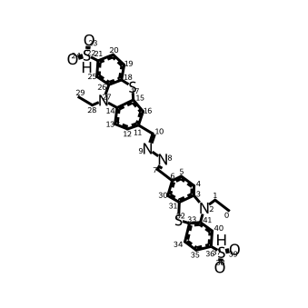 CCN1c2ccc(/C=N/N=C/c3ccc4c(c3)Sc3ccc([SH](=O)=O)cc3N4CC)cc2Sc2ccc([SH](=O)=O)cc21